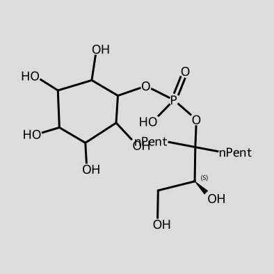 CCCCCC(CCCCC)(OP(=O)(O)OC1C(O)C(O)C(O)C(O)C1O)[C@@H](O)CO